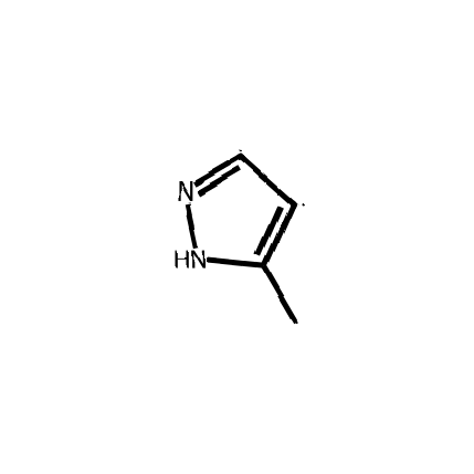 Cc1[c][c]n[nH]1